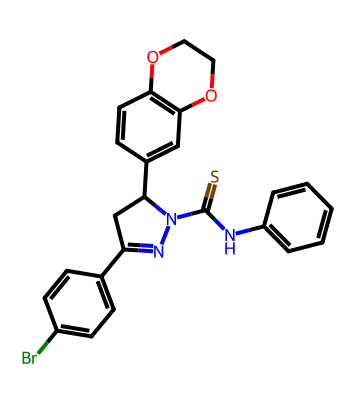 S=C(Nc1ccccc1)N1N=C(c2ccc(Br)cc2)CC1c1ccc2c(c1)OCCO2